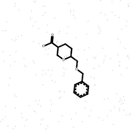 O=C(Cl)C1CCC(COCc2ccccc2)OC1